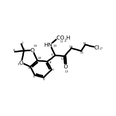 CC1(C)Oc2cccc(C(NC(=O)O)C(=O)CCCCl)c2O1